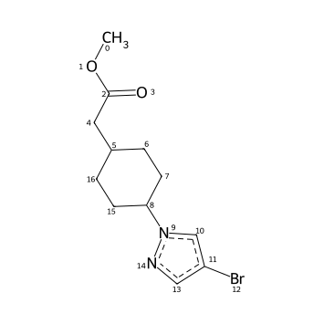 COC(=O)CC1CCC(n2cc(Br)cn2)CC1